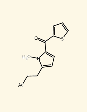 CC(=O)CCc1ccc(C(=O)c2cccs2)n1C